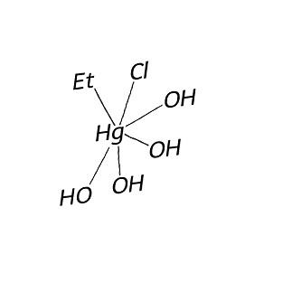 C[CH2][Hg]([OH])([OH])([OH])([OH])[Cl]